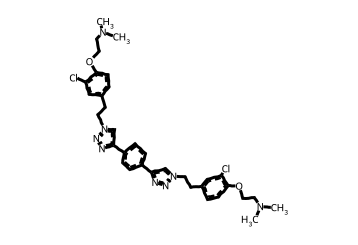 CN(C)CCOc1ccc(CCn2cc(-c3ccc(-c4cn(CCc5ccc(OCCN(C)C)c(Cl)c5)nn4)cc3)nn2)cc1Cl